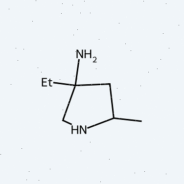 CCC1(N)CNC(C)C1